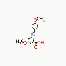 COc1ccc(/C=C/c2cc(OC)cc(B(O)O)c2)cc1